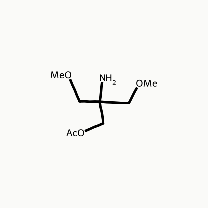 COCC(N)(COC)COC(C)=O